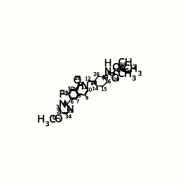 COc1cnc(-c2cc3ccn(C[C@@H]4CCC[C@H](NC(=O)OC(C)(C)C)C4)c(=O)c3cc2F)nc1